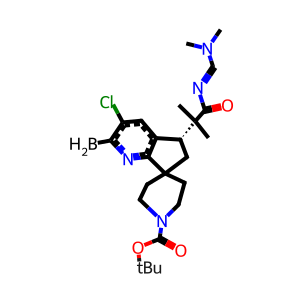 Bc1nc2c(cc1Cl)[C@H](C(C)(C)C(=O)/N=C/N(C)C)CC21CCN(C(=O)OC(C)(C)C)CC1